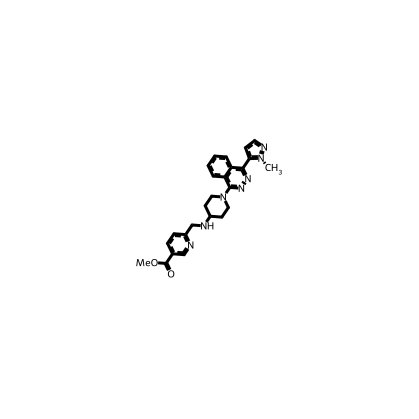 COC(=O)c1ccc(CNC2CCN(c3nnc(-c4ccnn4C)c4ccccc34)CC2)nc1